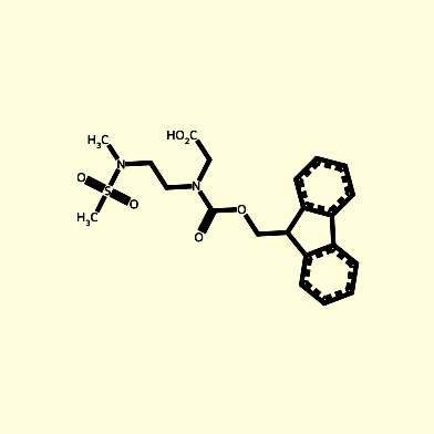 CN(CCN(CC(=O)O)C(=O)OCC1c2ccccc2-c2ccccc21)S(C)(=O)=O